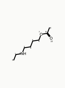 CCNCCCCOC(C)=O